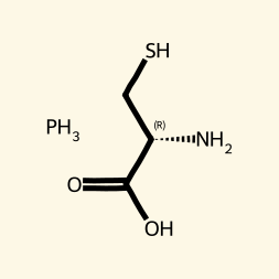 N[C@@H](CS)C(=O)O.P